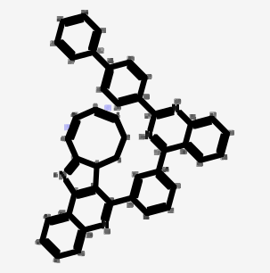 C1=C\CCC2C(=Nc3c2c(-c2cccc(-c4nc(-c5ccc(-c6ccccc6)cc5)nc5ccccc45)c2)nc2ccccc32)\C=C/1